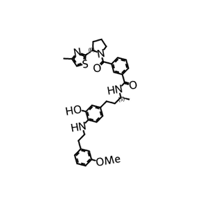 COc1cccc(CCNc2ccc(CC[C@H](C)NC(=O)c3cccc(C(=O)N4CCC[C@@H]4c4nc(C)cs4)c3)cc2O)c1